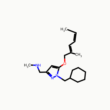 C/C=C\C=C(/C)COc1cc(CNC)nn1CC1CCCCC1